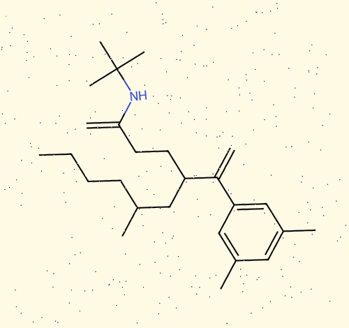 C=C(CCC(CC(C)CCCC)C(=C)c1cc(C)cc(C)c1)NC(C)(C)C